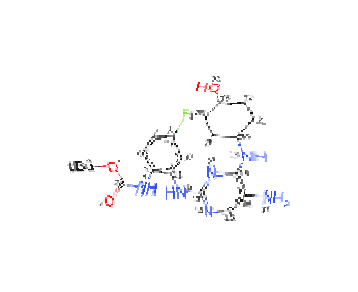 CC(C)(C)OC(=O)Nc1ccc(F)cc1Nc1ncc(N)c(NC2CCC(O)CC2)n1